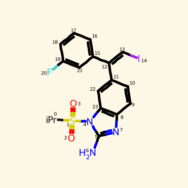 CC(C)S(=O)(=O)n1c(N)nc2ccc(/C(=C\I)c3cccc(F)c3)cc21